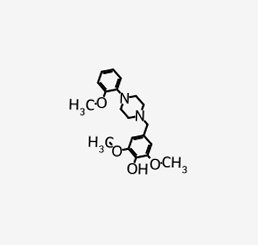 COc1ccccc1N1CCN(Cc2cc(OC)c(O)c(OC)c2)CC1